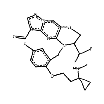 CNC1(CCOc2ccc(F)cc2CN2c3nc4c(C=O)cnn4cc3OCC2C(F)F)CC1